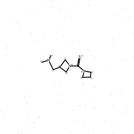 CN(C)CC1CN(C(=S)N2CCC2)C1